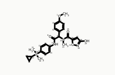 COc1ccc(C(C(=O)Nc2ccc(S(C)(C)C3CC3)cc2)N(C)C(=O)c2cc(O)no2)cc1